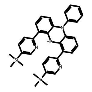 C[Si](C)(C)c1ccc(-c2cccc3c2Pc2c(-c4ccc([Si](C)(C)C)cn4)cccc2N3c2ccccc2)nc1